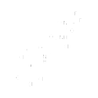 O=C(N[C@@H]1CON(CC(F)(F)F)C1=O)c1cc(NC(=O)[C@@H]2[C@@H](c3cc(Cl)c(Cl)c(Cl)c3)C2(Cl)Cl)ccc1Cl